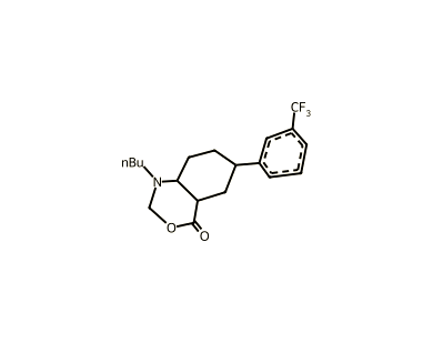 CCCCN1COC(=O)C2CC(c3cccc(C(F)(F)F)c3)CCC21